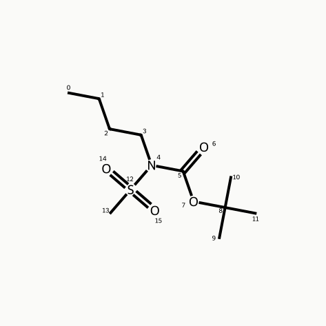 CCCCN(C(=O)OC(C)(C)C)S(C)(=O)=O